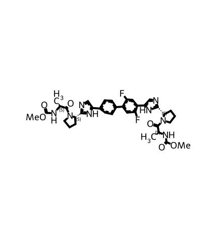 COC(=O)N[C@@H](C)C(=O)N1CCC[C@H]1c1ncc(-c2ccc(-c3cc(F)c(-c4cnc([C@@H]5CCCN5C(=O)[C@H](C)NC(=O)OC)[nH]4)cc3F)cc2)[nH]1